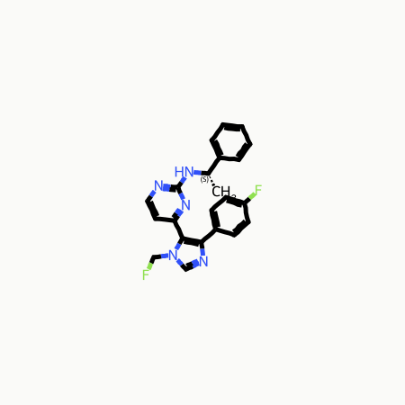 C[C@H](Nc1nccc(-c2c(-c3ccc(F)cc3)ncn2CF)n1)c1ccccc1